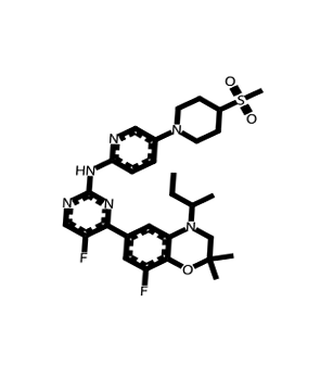 CCC(C)N1CC(C)(C)Oc2c(F)cc(-c3nc(Nc4ccc(N5CCC(S(C)(=O)=O)CC5)cn4)ncc3F)cc21